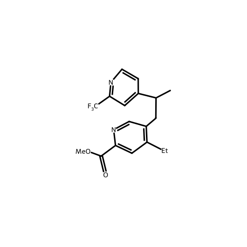 CCc1cc(C(=O)OC)ncc1CC(C)c1ccnc(C(F)(F)F)c1